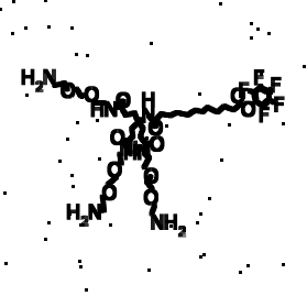 NCCOCCOCCNC(=O)CCC(CCC(=O)NCCOCCOCCN)(CCC(=O)NCCOCCOCCN)NC(=O)CCCCCCCCCCC(=O)Oc1c(F)c(F)c(F)c(F)c1F